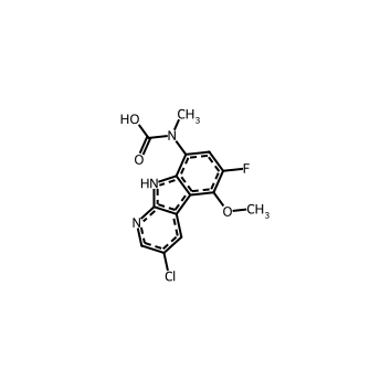 COc1c(F)cc(N(C)C(=O)O)c2[nH]c3ncc(Cl)cc3c12